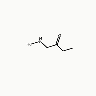 CCC(=O)CPO